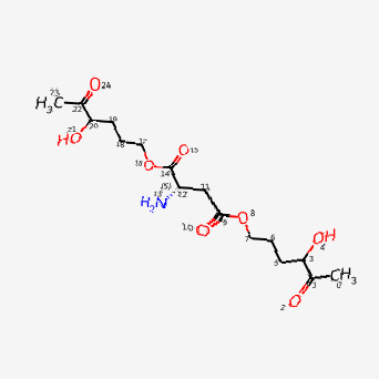 CC(=O)C(O)CCCOC(=O)C[C@H](N)C(=O)OCCCC(O)C(C)=O